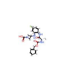 C[C@H](NC(=O)OCc1ccccc1)C(=O)Nc1ccc(F)cc1NC1CN(C(=O)O)C1